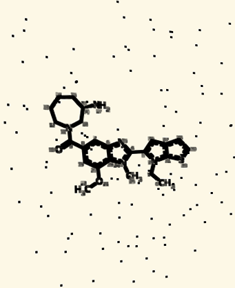 CCn1c(-c2nc3cc(C(=O)N4CCCC[C@@H](N)C4)cc(OC)c3n2C)cc2ccsc21